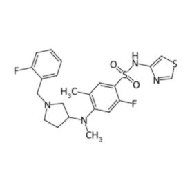 Cc1cc(S(=O)(=O)Nc2cscn2)c(F)cc1N(C)C1CCN(Cc2ccccc2F)C1